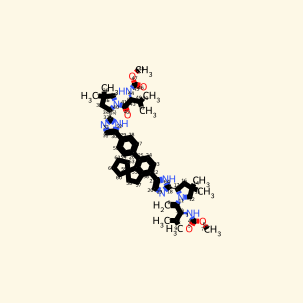 C=C([C@@H](NC(=O)OC)C(C)C)N1CC(C)(C)C[C@H]1c1ncc(-c2ccc(-c3ccc(-c4cnc([C@@H]5CC(C)(C)CN5C(=O)[C@@H](NC(=O)OC)C(C)C)[nH]4)cc3)c3c2CCC32CCCC2)[nH]1